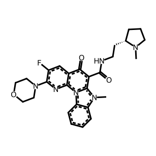 CN1CCC[C@H]1CCNC(=O)c1c(=O)c2cc(F)c(N3CCOCC3)nc2n2c3ccccc3n(C)c12